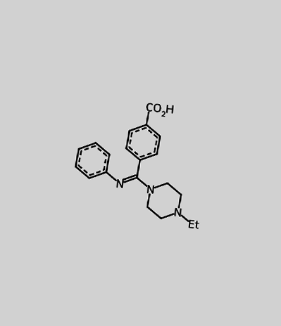 CCN1CCN(C(=Nc2ccccc2)c2ccc(C(=O)O)cc2)CC1